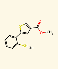 COC(=O)c1csc(-c2ccccc2S)c1.[Zn]